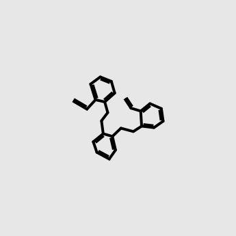 C=Cc1ccccc1CCc1ccccc1CCc1ccccc1C=C